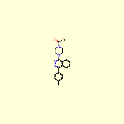 CCC(=O)N1CCN(c2nnc(-c3ccc(C)cc3)c3ccccc23)CC1